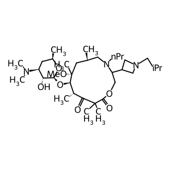 CCCN1C[C@H](C)C[C@@](C)(OC)[C@H](O[C@@H]2O[C@H](C)C[C@H](N(C)C)[C@H]2O)[C@@H](C)C(=O)C(C)(C)C(=O)OCC1C1CN(CC(C)C)C1